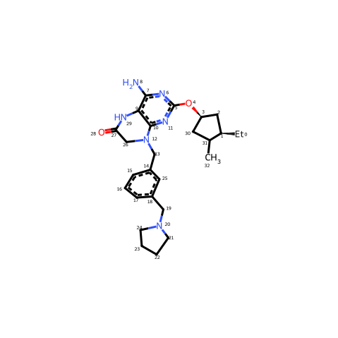 CC[C@@H]1C[C@H](Oc2nc(N)c3c(n2)N(Cc2cccc(CN4CCCC4)c2)CC(=O)N3)CC1C